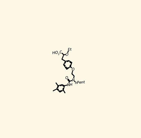 CCCCCN(CCOc1ccc(CC(OCC)C(=O)O)cc1)C(=O)Nc1cc(C)c(C)cc1C